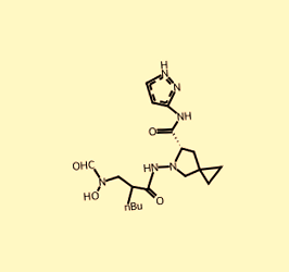 CCCCC(CN(O)C=O)C(=O)NN1CC2(CC2)C[C@H]1C(=O)Nc1cc[nH]n1